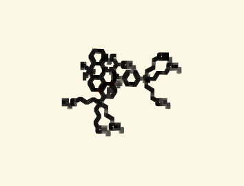 CCCC[Si](CCCC)(CCCC)c1ccc(P(c2ccc([Si](CCCC)(CCCC)CCCC)cc2)N(C(C)C)P(c2ccccc2C(F)(F)F)c2ccccc2C(F)(F)F)cc1